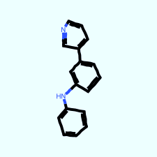 c1ccc(Nc2cccc(-c3cccnc3)c2)cc1